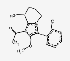 COc1c(C(C)=O)c2n(c1-c1cccnc1Cl)CCCC2O